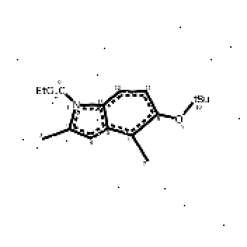 CCOC(=O)n1c(C)cc2c(C)c(OC(C)(C)C)ccc21